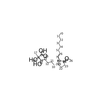 CCCCCCC=C[C@@H]1[C@@H](CCCCC(O)C(C)(O)C(=O)O)CC[C@H]1OC